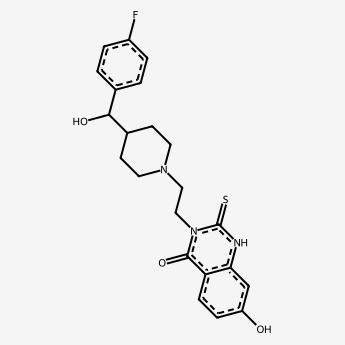 O=c1c2ccc(O)cc2[nH]c(=S)n1CCN1CCC(C(O)c2ccc(F)cc2)CC1